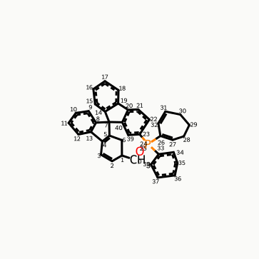 CC1C=CC2=C(C1)C1(c3ccccc32)c2ccccc2-c2ccc(P(=O)(C3=CCCCC=C3)c3ccccc3)cc21